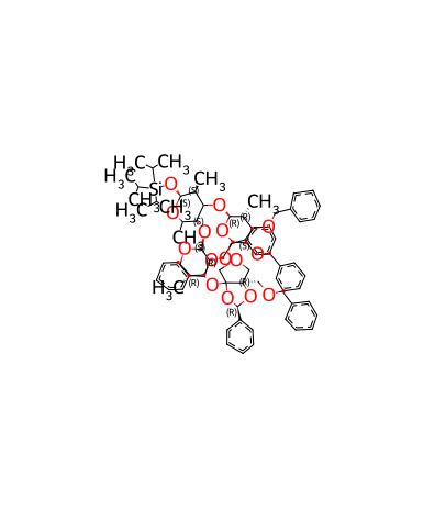 CC1O[C@@H](O[Si](C(C)C)(C(C)C)C(C)C)[C@@H](C)C(O[C@@H]2OC(COCc3ccccc3)[C@@H](OCc3ccccc3)C(OCc3ccccc3)[C@H]2C)[C@H]1O[C@@H]1OC[C@@H](C)C(OC23COC[C@@]2(COCc2ccccc2)O[C@@H](c2ccccc2)O3)[C@H]1OCc1ccccc1